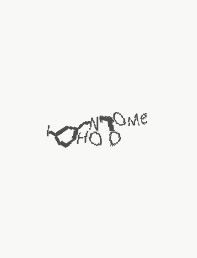 COC(=O)/C=[N+](\O)Cc1cccc(I)c1